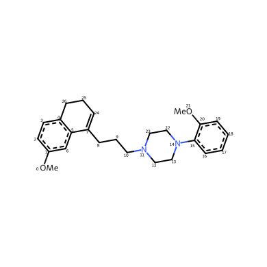 COc1ccc2c(c1)C(CCCN1CCN(c3ccccc3OC)CC1)=CCC2